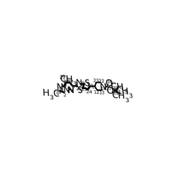 Cc1cn2nc(-c3nc4sc(C5CCN(C(=O)OC(C)(C)C)CC5)cc4s3)cc(C)c2n1